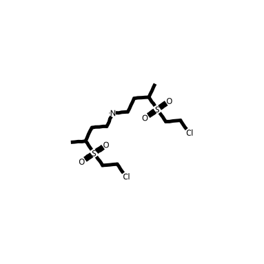 CC(CC[N]CCC(C)S(=O)(=O)CCCl)S(=O)(=O)CCCl